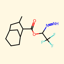 CC1CC2CCCC(C2)C1C(=O)OC(N=N)C(F)(F)F